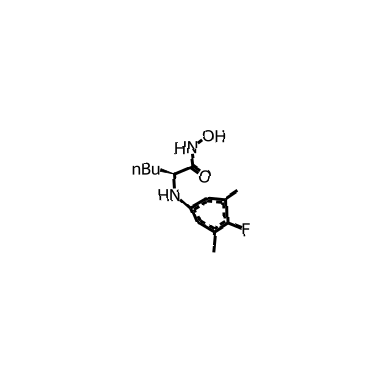 CCCC[C@H](Nc1cc(C)c(F)c(C)c1)C(=O)NO